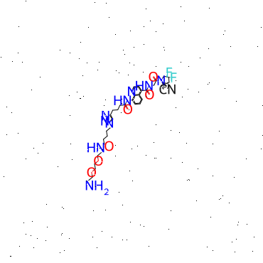 N#C[C@@H]1CC(F)(F)CN1C(=O)CNC(=O)c1ccnc2c(NC(=O)CCCc3cn(CCCCC(=O)NCCOCCOCCN)nn3)cccc12